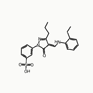 CCCC1=NN(c2cccc(S(=O)(=O)O)c2)C(=O)/C1=C/Nc1ccccc1CC